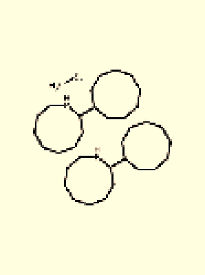 C1CCCCC(C2CCCCCCCP2)CCC1.C1CCCCC(C2CCCCCCCP2)CCC1.CCC